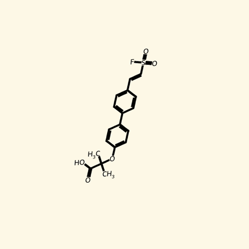 CC(C)(Oc1ccc(-c2ccc(C=CS(=O)(=O)F)cc2)cc1)C(=O)O